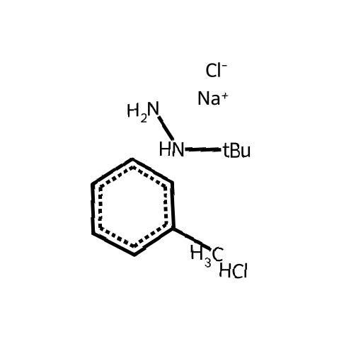 CC(C)(C)NN.Cc1ccccc1.Cl.[Cl-].[Na+]